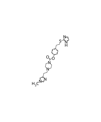 Cn1cnc(CCN2CCN(C(=O)Oc3ccc(CCSc4ncc[nH]4)cc3)CC2)c1